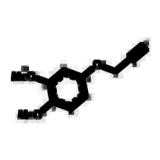 C#CCOc1ccc(OC)c(OC)c1